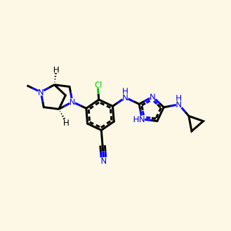 CN1C[C@H]2C[C@@H]1CN2c1cc(C#N)cc(Nc2nc(NC3CC3)c[nH]2)c1Cl